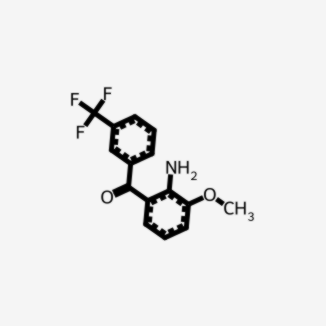 COc1cccc(C(=O)c2cccc(C(F)(F)F)c2)c1N